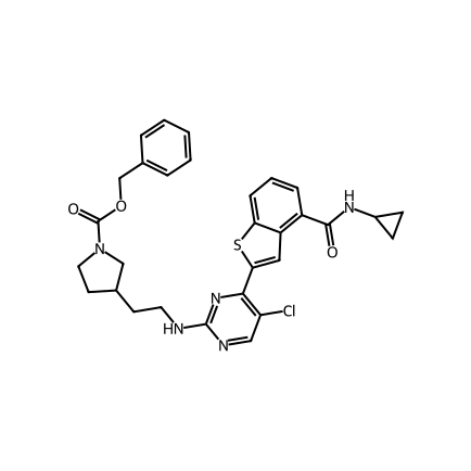 O=C(NC1CC1)c1cccc2sc(-c3nc(NCCC4CCN(C(=O)OCc5ccccc5)C4)ncc3Cl)cc12